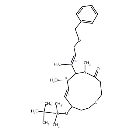 C/C(=C\COCc1ccccc1)C1[C@@H](C)/C=C/C(O[Si](C)(C)C(C)(C)C)CCCCCC(=O)N1C